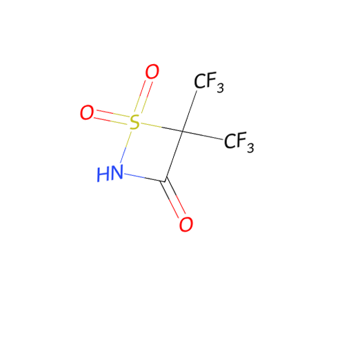 O=C1NS(=O)(=O)C1(C(F)(F)F)C(F)(F)F